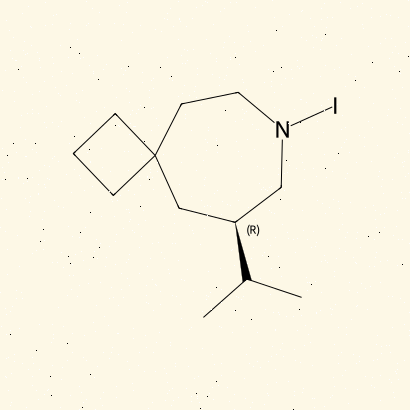 CC(C)[C@@H]1CN(I)CCC2(CCC2)C1